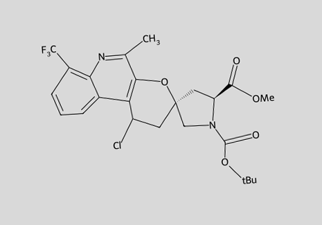 COC(=O)[C@@H]1C[C@@]2(CC(Cl)c3c(c(C)nc4c(C(F)(F)F)cccc34)O2)CN1C(=O)OC(C)(C)C